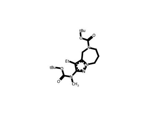 CCc1c(N(C)C(=O)OC(C)(C)C)nn2c1CN(C(=O)OC(C)(C)C)CCC2